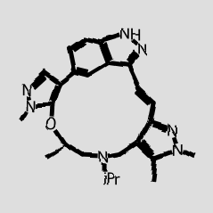 Cc1c2c(nn1C)/C=C/c1n[nH]c3ccc(cc13)-c1cnn(C)c1O[C@H](C)CN(C(C)C)C2